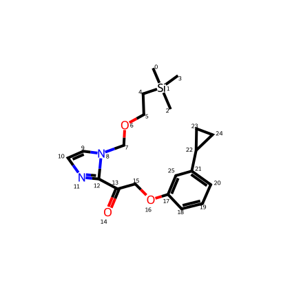 C[Si](C)(C)CCOCn1ccnc1C(=O)COc1cccc(C2CC2)c1